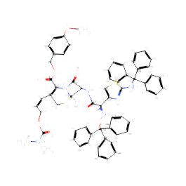 COc1ccc(COC(=O)C2=C(/C=C\COC(=O)N(C)C)CS[C@H]3C(NC(=O)/C(=N\OC(c4ccccc4)(c4ccccc4)c4ccccc4)c4csc(NC(c5ccccc5)(c5ccccc5)c5ccccc5)n4)C(=O)N23)cc1